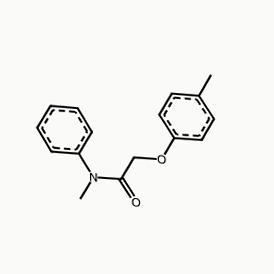 Cc1ccc(OCC(=O)N(C)c2ccccc2)cc1